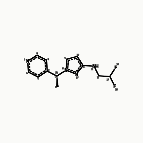 C[C@@H](c1ccncc1)n1ccc(NCC(F)F)n1